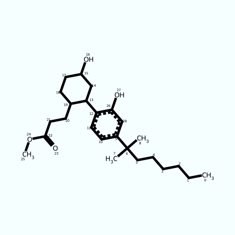 CCCCCCC(C)(C)c1ccc(C2CC(O)CCC2CCC(=O)OC)c(O)c1